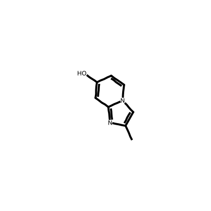 Cc1cn2ccc(O)cc2n1